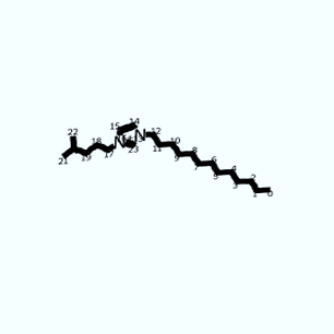 CCCCCCCCCCCCCn1cc[n+](CCCC(C)C)c1